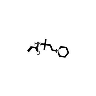 C=CC(=O)NC(C)(C)CCN1CCCCC1